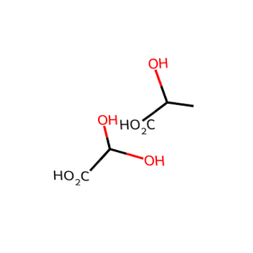 CC(O)C(=O)O.O=C(O)C(O)O